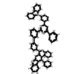 c1ccc(-c2cc(-c3cccc(-n4c5ccccc5c5ccccc54)c3)nc(-c3cccc(-c4cccc(-c5nc6ccccc6c6c(-c7ccccc7)c7c(cc56)oc5ccccc57)c4)c3)n2)cc1